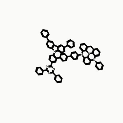 c1ccc(-c2ccc3c(c2)c2cc(-c4ccccc4)ccc2n3-c2ccc(-c3nc(-c4ccccc4)nc(-c4ccccc4)n3)cc2-c2ccc(-c3ccc(N4c5cccc6c5B5c7c(cccc7N(c7ccccc7)c7cccc4c75)C6)cc3)cc2)cc1